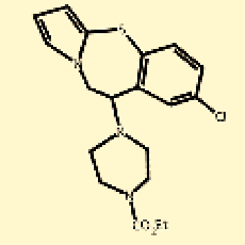 CCOC(=O)N1CCN(C2Cn3cccc3Sc3ccc(Cl)cc32)CC1